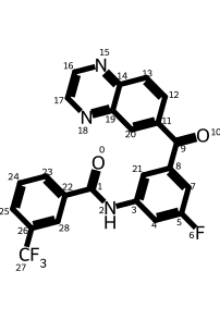 O=C(Nc1cc(F)cc(C(=O)c2ccc3nccnc3c2)c1)c1cccc(C(F)(F)F)c1